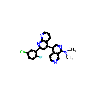 CN(C)c1ncc(-c2cc(-c3cc(Cl)ccc3F)nc3ncccc23)c2ccncc12